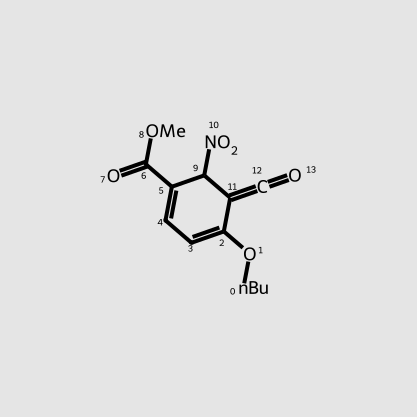 CCCCOC1=CC=C(C(=O)OC)C([N+](=O)[O-])C1=C=O